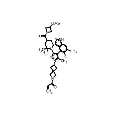 C=CC(=O)N1CC2(CC(n3nc(N4CCC(C(=O)N5CC(OC)C5)CC4(C)C)c(-c4c(Cl)c(C)cc5[nH]ncc45)c3C)C2)C1